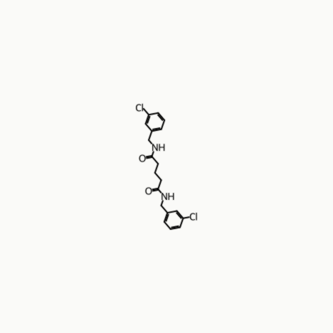 O=C(CCCC(=O)NCc1cccc(Cl)c1)NCc1cccc(Cl)c1